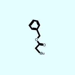 CCC(C)CC(=O)OCc1ccccc1